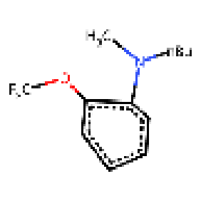 [CH2]CCCN(C)c1ccccc1OC(F)(F)F